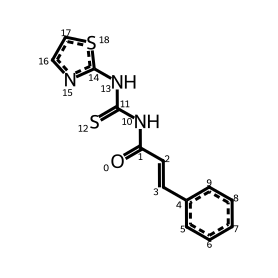 O=C(C=Cc1ccccc1)NC(=S)Nc1nccs1